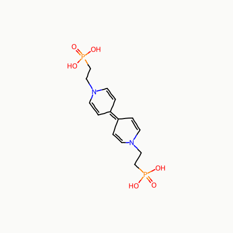 O=P(O)(O)CCN1C=CC(=C2C=CN(CCP(=O)(O)O)C=C2)C=C1